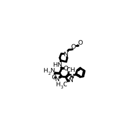 Cc1nn(-c2ccccc2)c(C)c1-c1noc(N)c1C(=O)NC1CCN(CCOC=O)CC1